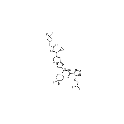 O=C(CC1CC(F)(F)C1)NC(c1cnn2cc([C@@H](NC(=O)c3nonc3OCC(F)F)C3CCC(F)(F)CC3)nc2c1)C1CC1